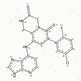 O=C1Cn2c(c(Nc3ccnc4[nH]cnc34)cc(-c3cc(Cl)ccc3F)c2=O)CN1